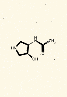 CC(=O)N[C@H]1CNC[C@@H]1O